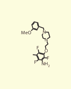 COc1cccc(CN2CCN(CCOc3c(F)c(C)c(F)c(N)c3F)CC2)c1